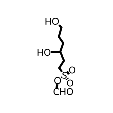 O=COS(=O)(=O)CCC(O)CCCO